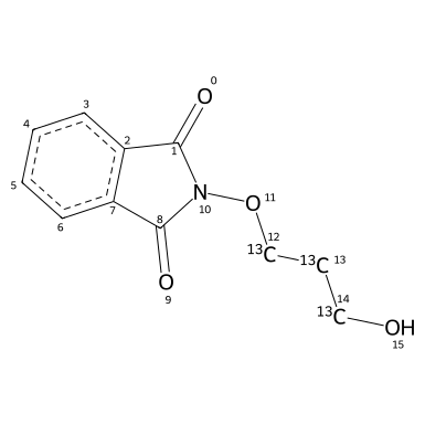 O=C1c2ccccc2C(=O)N1O[13CH2][13CH2][13CH2]O